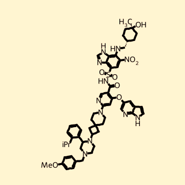 COc1ccc(CN2CCN(C3CC4(CCN(c5cc(Oc6cnc7[nH]ccc7c6)c(C(=O)NS(=O)(=O)c6cc([N+](=O)[O-])c(NC[C@H]7CC[C@](C)(O)CC7)c7[nH]cnc67)cn5)CC4)C3)C(c3ccccc3C(C)C)C2)cc1